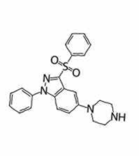 O=S(=O)(c1ccccc1)c1nn(-c2ccccc2)c2ccc(N3CCNCC3)cc12